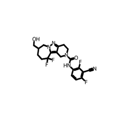 N#Cc1c(F)ccc(NC(=O)N2CCc3nn4c(c3C2)C(F)(F)CCC(CO)C4)c1F